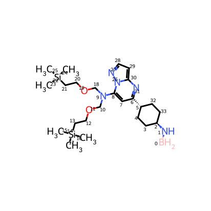 BN[C@H]1CC[C@H](c2cc(N(COCC[Si](C)(C)C)COCC[Si](C)(C)C)n3nccc3n2)CC1